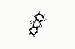 c1ccc2c(c1)Oc1ncccc1[Se]2